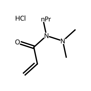 C=CC(=O)N(CCC)N(C)C.Cl